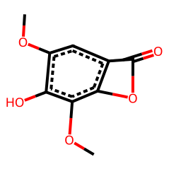 COc1cc2c(c(OC)c1O)OC2=O